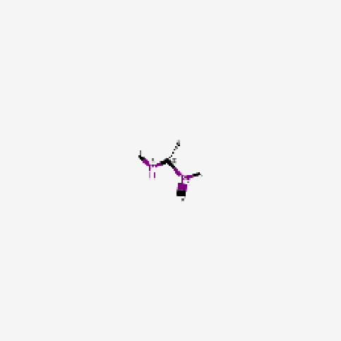 C#P(C)[C@@H](C)PC